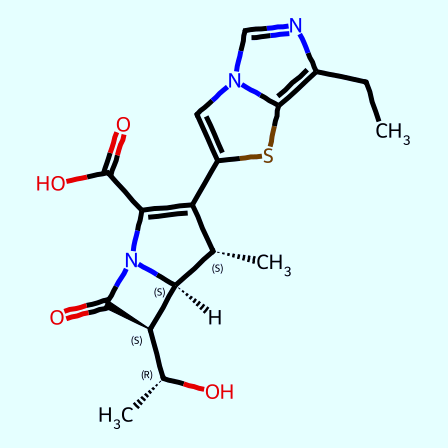 CCc1ncn2cc(C3=C(C(=O)O)N4C(=O)[C@H]([C@@H](C)O)[C@@H]4[C@H]3C)sc12